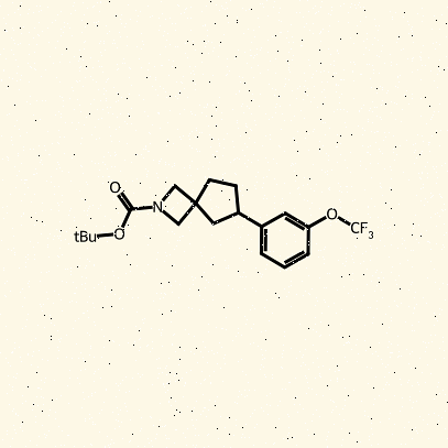 CC(C)(C)OC(=O)N1CC2(CCC(c3cccc(OC(F)(F)F)c3)C2)C1